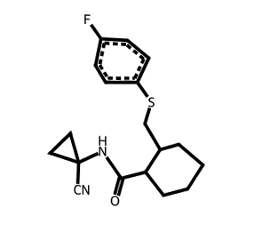 N#CC1(NC(=O)C2CCCCC2CSc2ccc(F)cc2)CC1